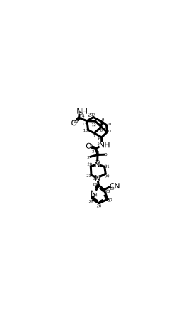 CC(C)(C(=O)NC1C2CC3CC1CC(C(N)=O)(C3)C2)N1CCN(c2ncccc2C#N)CC1